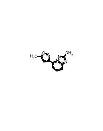 Cc1cc(-c2cccc3nc(N)nn23)no1